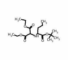 CCCC(NC(C(=O)OCC)C(=O)OCC)C(=O)OC(C)(C)C